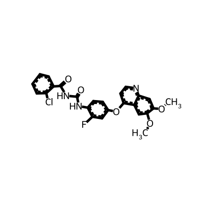 COc1cc2nccc(Oc3ccc(NC(=O)NC(=O)c4ccccc4Cl)c(F)c3)c2cc1OC